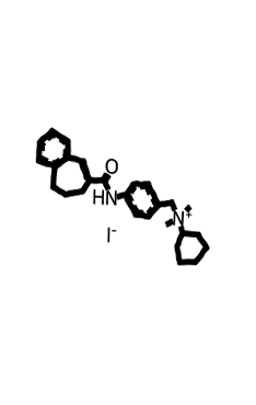 C[N+](C)(Cc1ccc(NC(=O)C2=Cc3ccccc3CCC2)cc1)C1CCCCC1.[I-]